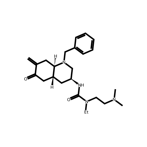 C=C1C[C@@H]2[C@@H](CC1=O)C[C@H](NC(=O)N(CC)CCN(C)C)CN2Cc1ccccc1